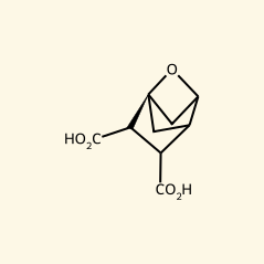 O=C(O)C1C2C[C@]3(CC2O3)C1C(=O)O